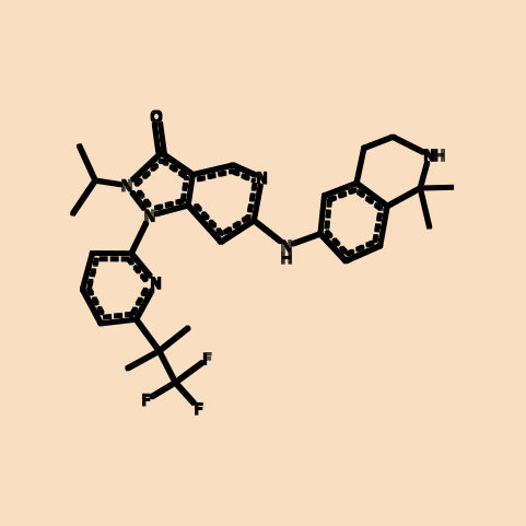 CC(C)n1c(=O)c2cnc(Nc3ccc4c(c3)CCNC4(C)C)cc2n1-c1cccc(C(C)(C)C(F)(F)F)n1